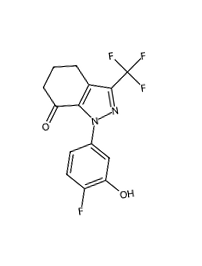 O=C1CCCc2c(C(F)(F)F)nn(-c3ccc(F)c(O)c3)c21